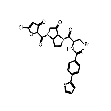 CC(C)CC(NC(=O)c1ccc(-c2cccs2)cc1)C(=O)N1CCC2C1C(=O)CN2C(=O)C1OC(Cl)=CC1=O